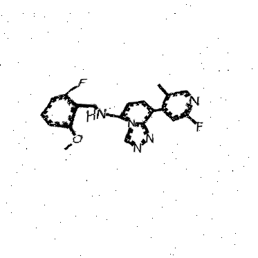 COc1cccc(F)c1CNc1ccc(-c2cc(F)ncc2C)c2nncn12